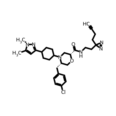 C#CCCC1(CCNC(=O)[C@H]2CN(C3CCC(c4cc(C)n(C)n4)CC3)[C@@H](Cc3ccc(Cl)cc3)CO2)N=N1